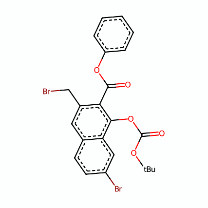 CC(C)(C)OC(=O)Oc1c(C(=O)Oc2ccccc2)c(CBr)cc2ccc(Br)cc12